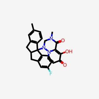 Cc1ccc2c(c1)CC1Cc3cc(F)ccc3C21N1CN(C)C(=O)c2c(O)c(=O)ccn21